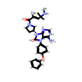 CC(C)NC(C)(C)C=C(C#N)C(=O)N1CC[C@H](n2c(=O)n(-c3ccc(Oc4ccccc4)cc3)c3c(N)ncnc32)C1